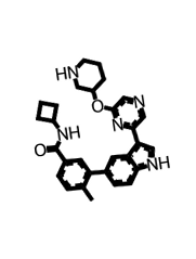 Cc1ccc(C(=O)NC2CCC2)cc1-c1ccc2[nH]cc(-c3cncc(OC4CCCNC4)n3)c2c1